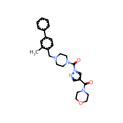 Cc1cc(-c2ccccc2)ccc1CN1CCN(C(=O)n2cc(C(=O)N3CCOCC3)cn2)CC1